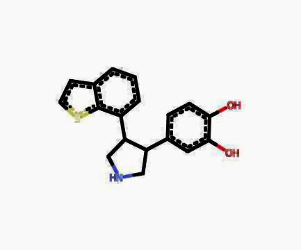 Oc1ccc(C2CNCC2c2cccc3ccsc23)cc1O